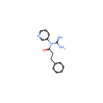 N=C(N)N(C(=O)CCc1ccccc1)c1cccnc1